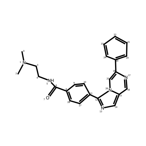 CN(C)CCNC(=O)c1ccc(-c2ncc3cnc(-c4ccccc4)cn23)cc1